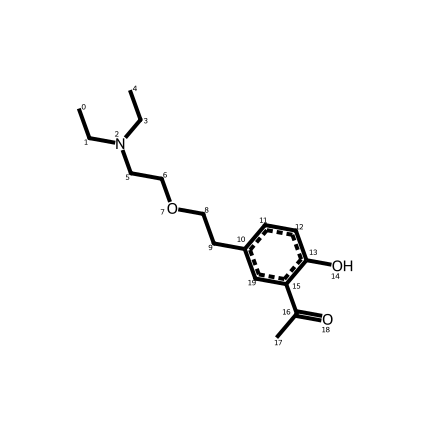 CCN(CC)CCOCCc1ccc(O)c(C(C)=O)c1